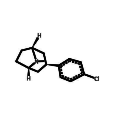 CN1[C@@H]2CC[C@H]1C[C@H](c1ccc(Cl)cc1)C2